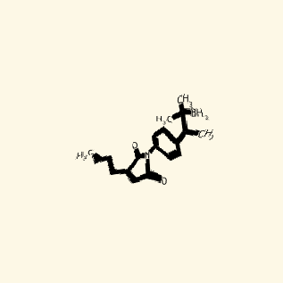 BC(C)(C)C(C)c1ccc(N2C(=O)CC(CCCC)C2=O)cc1